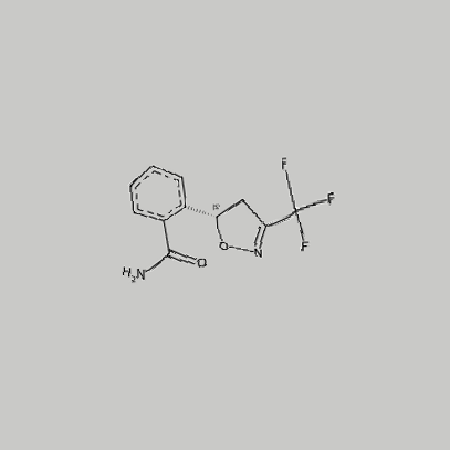 NC(=O)c1ccccc1[C@@H]1CC(C(F)(F)F)=NO1